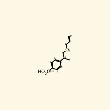 C=CCOCC(C)c1ccc(C(=O)O)cc1